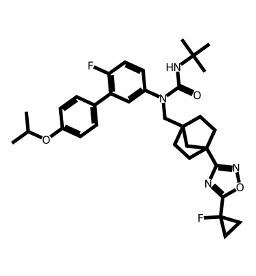 CC(C)Oc1ccc(-c2cc(N(CC34CCC(c5noc(C6(F)CC6)n5)(CC3)C4)C(=O)NC(C)(C)C)ccc2F)cc1